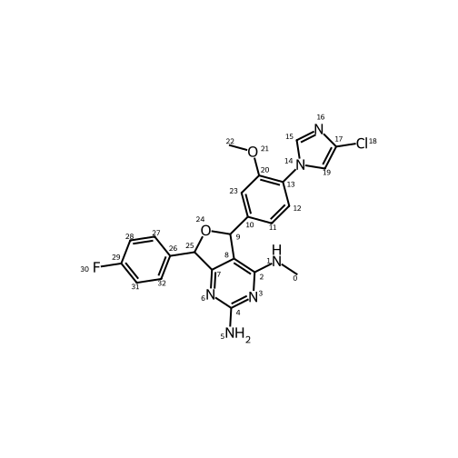 CNc1nc(N)nc2c1C(c1ccc(-n3cnc(Cl)c3)c(OC)c1)OC2c1ccc(F)cc1